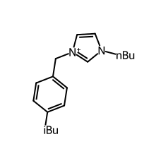 CCCCn1cc[n+](Cc2ccc(C(C)CC)cc2)c1